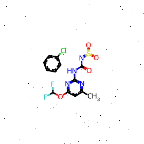 Cc1cc(OC(F)F)nc(NC(=O)N=S(=O)=O)n1.Clc1ccccc1